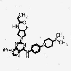 C=CC(=O)N[C@@H]1CN(c2nc(Nc3ccc(N4CCC(N(C)C)CC4)cc3)c3ncn(C(C)C)c3n2)C[C@@H]1F